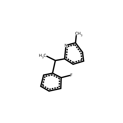 Cc1cccc(C(C)c2ccccc2F)n1